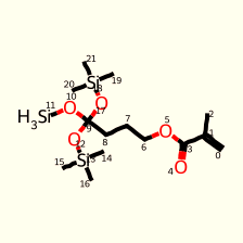 C=C(C)C(=O)OCCCC(O[SiH3])(O[Si](C)(C)C)O[Si](C)(C)C